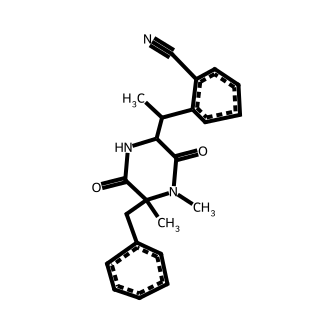 CC(c1ccccc1C#N)C1NC(=O)C(C)(Cc2ccccc2)N(C)C1=O